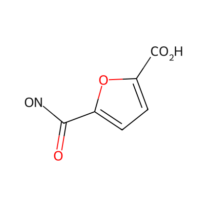 O=NC(=O)c1ccc(C(=O)O)o1